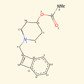 CNC(=O)OC1CCN(CC2=Cc3ccccc32)CC1